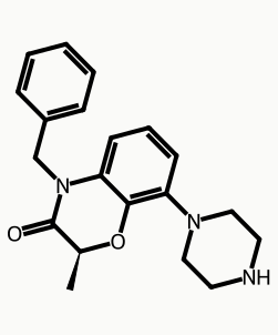 C[C@@H]1Oc2c(N3CCNCC3)cccc2N(Cc2ccccc2)C1=O